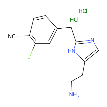 Cl.Cl.N#Cc1ccc(Cc2ncc(CCN)[nH]2)cc1F